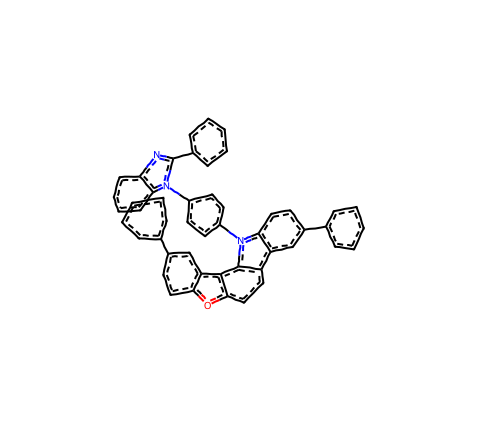 c1ccc(-c2ccc3oc4ccc5c6cc(-c7ccccc7)ccc6n(-c6ccc(-n7c(-c8ccccc8)nc8ccccc87)cc6)c5c4c3c2)cc1